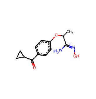 CC(Oc1ccc(C(=O)C2CC2)cc1)/C(N)=N/O